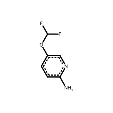 Nc1ccc(OC(F)F)cn1